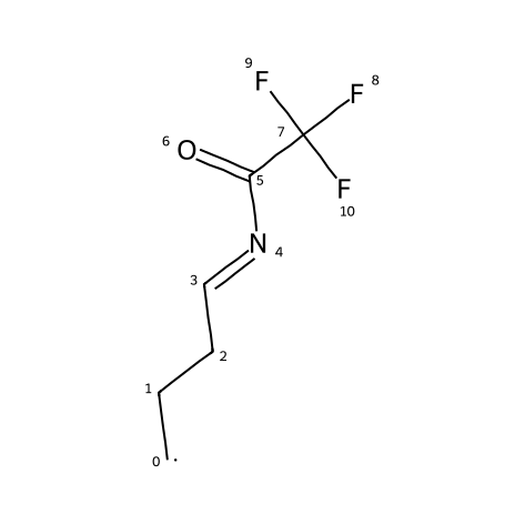 [CH2]CCC=NC(=O)C(F)(F)F